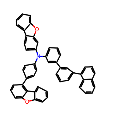 c1cc(-c2cccc(N(c3ccc(-c4cccc5oc6ccccc6c45)cc3)c3ccc4c(c3)oc3ccccc34)c2)cc(-c2cccc3ccccc23)c1